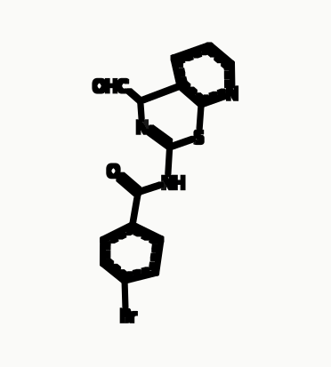 O=CC1N=C(NC(=O)c2ccc(Br)cc2)Sc2ncccc21